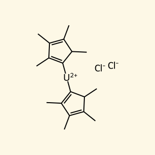 CC1=C(C)C(C)[C]([U+2][C]2=C(C)C(C)=C(C)C2C)=C1C.[Cl-].[Cl-]